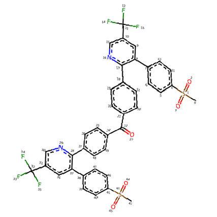 CS(=O)(=O)c1ccc(-c2cc(C(F)(F)F)cnc2-c2ccc(C(=O)c3ccc(-c4ncc(C(F)(F)F)cc4-c4ccc(S(C)(=O)=O)cc4)cc3)cc2)cc1